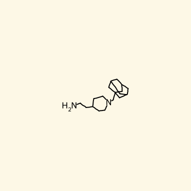 NCCC1CCN(CC23CC4CC(CC(C4)C2)C3)CC1